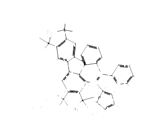 CC(C)(C)c1cc2c(cc1C(C)(C)C)-c1cc(C(C)(C)C)c(C(C)(C)C)[c]([Hf]([C]3=CC=CC3)=[Si](c3ccccc3)c3ccccc3)c1C2.Cl.Cl